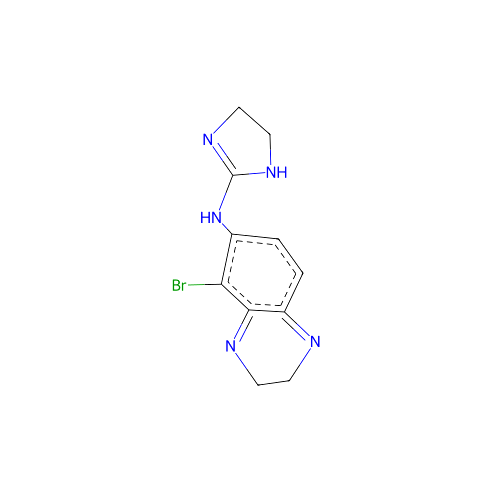 Brc1c(NC2=NCCN2)ccc2c1=NCCN=2